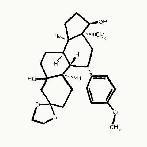 COc1ccc([C@H]2C[C@]3(C)[C@H](O)CC[C@@H]3[C@@H]3CCC4(O)CC5(CC[C@@H]4[C@H]32)OCCO5)cc1